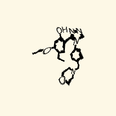 CCOc1cc(O)c(-c2nncn2-c2ccc(CN3CCOCC3)cc2)cc1CC